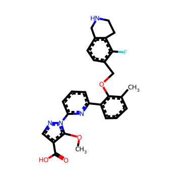 COc1c(C(=O)O)cnn1-c1cccc(-c2cccc(C)c2OCc2ccc3c(c2F)CCNC3)n1